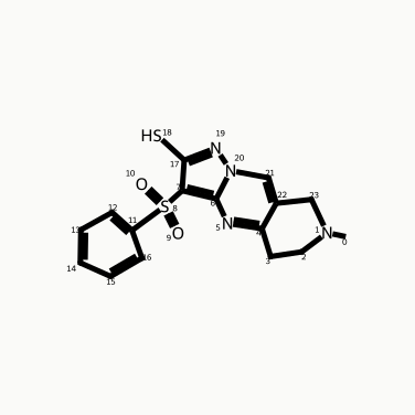 CN1CCc2nc3c(S(=O)(=O)c4ccccc4)c(S)nn3cc2C1